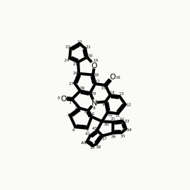 O=c1c2cccc3c2n2c4c(cccc4c(=O)c4c5oc6ccccc6c5cc1c42)C31c2ccccc2-c2ccccc21